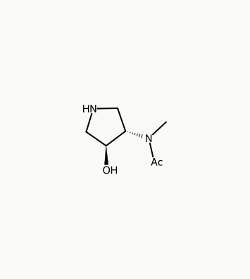 CC(=O)N(C)[C@H]1CNC[C@@H]1O